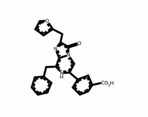 O=C(O)c1cccc(-c2cn3c(=O)c(Cc4ccco4)nc-3c(Cc3ccccc3)[nH]2)c1